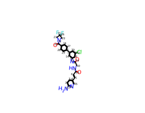 Nc1ccc(/C=C/C(=O)NCc2nc3cc(-c4ccc(C(=O)N5CC(F)(F)C5)cc4)cc(Cl)c3o2)cn1